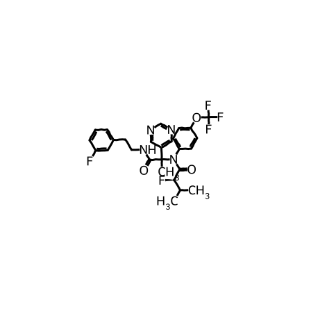 CC(C)[C@@H](F)C(=O)N(c1ccc(OC(F)(F)F)cc1)C(C)(C(=O)NCCc1cccc(F)c1)c1cncnc1